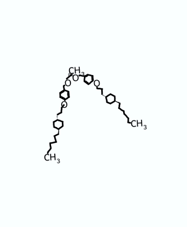 CCCCCCC[C@H]1CC[C@H](CCCOc2ccc(COC[C@@H](C)OCc3ccc(OCCC[C@H]4CC[C@H](CCCCCCC)CC4)cc3)cc2)CC1